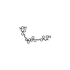 CC(O)CC(=O)OCCCOC(=O)OOC(=O)OCCCOC(=O)CC(C)O